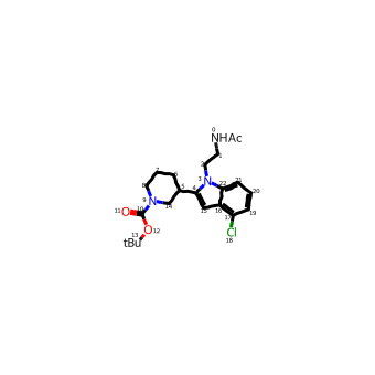 CC(=O)NCCn1c(C2CCCN(C(=O)OC(C)(C)C)C2)cc2c(Cl)cccc21